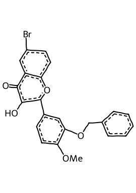 COc1ccc(-c2oc3ccc(Br)cc3c(=O)c2O)cc1OCc1ccccc1